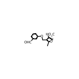 Cc1onc(C(=O)O)c1COc1cccc(C=O)c1